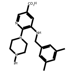 Cc1cc(C)cc(CNc2cc(C(=O)O)cnc2N2CCN(C(C)C)CC2)c1